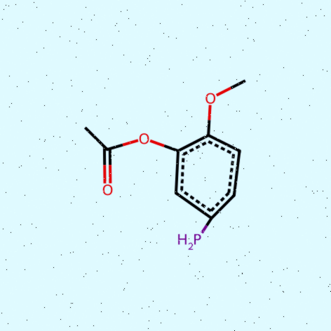 COc1ccc(P)cc1OC(C)=O